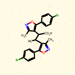 Cc1noc(-c2ccc(Br)cc2)c1C(C#N)C(C(=O)O)c1c(C)noc1-c1ccc(Br)cc1